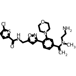 C=C(c1ccc(-c2cc(CNC(=O)c3ccc(Cl)s3)on2)c(N2CCOCC2)c1)N(C)CCN